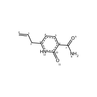 C=CCc1[c]cc(C(N)=O)c(=O)[nH]1